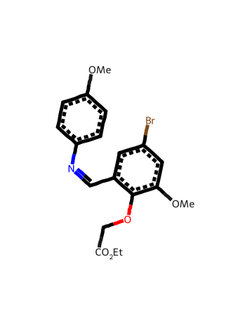 CCOC(=O)COc1c(/C=N\c2ccc(OC)cc2)cc(Br)cc1OC